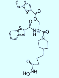 O=C(CCCC1CCN(C(=O)[C@@H](COC(=O)c2cc3ccccc3s2)NC(=O)c2cc3ccccc3s2)CC1)NO